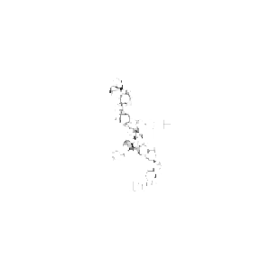 CC(C)(C)c1ccc(Oc2ccc3c(c2)CN(C(=O)CC2CCCC2)[C@H](C(=O)N[C@@H](Cc2ccc(Oc4cccc(C(C)(F)F)c4)cc2)C(=O)O)C3)cc1